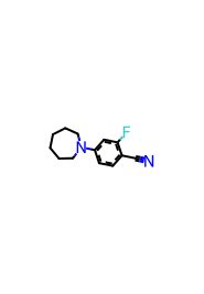 N#Cc1ccc(N2CCCCCC2)cc1F